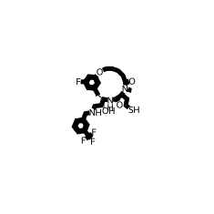 CN1C(=O)CCCCOc2cc(F)cc(c2)C[C@@H]([C@H](O)CNCc2cccc(C(F)(F)F)c2)NC(=O)C1CCS